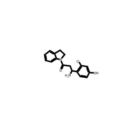 NC(CC(=O)N1CCc2ccccc21)c1ccc(O)cc1Cl